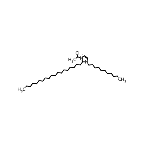 CCCCCCCCCCCCCCCCCCCC1N(CCCCCCCCCCC)C=CN1C(C)C